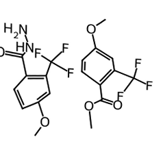 COC(=O)c1ccc(OC)cc1C(F)(F)F.COc1ccc(C(=O)NN)c(C(F)(F)F)c1